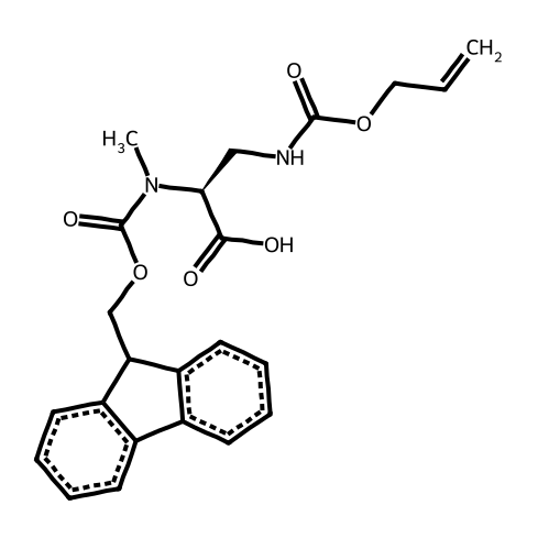 C=CCOC(=O)NC[C@@H](C(=O)O)N(C)C(=O)OCC1c2ccccc2-c2ccccc21